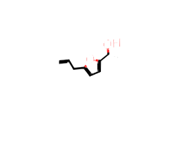 C=CCc1ccc([C@@H](C)O)o1